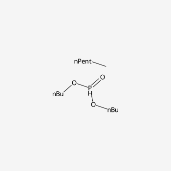 CCCCCC.CCCCO[PH](=O)OCCCC